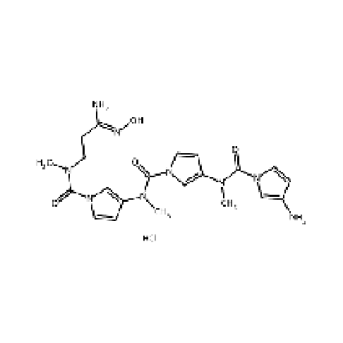 CN(CCC(N)=NO)C(=O)n1ccc(N(C)C(=O)n2ccc(N(C)C(=O)n3ccc(N)c3)c2)c1.Cl